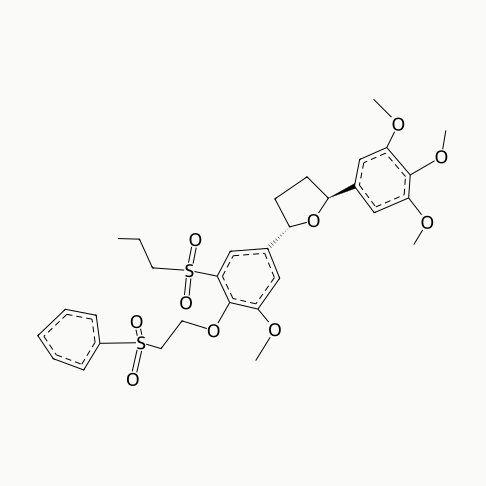 CCCS(=O)(=O)c1cc([C@@H]2CC[C@@H](c3cc(OC)c(OC)c(OC)c3)O2)cc(OC)c1OCCS(=O)(=O)c1ccccc1